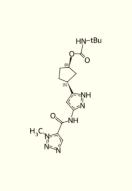 Cn1nncc1C(=O)Nc1cc([C@H]2CC[C@@H](OC(=O)NC(C)(C)C)C2)[nH]n1